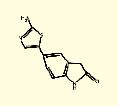 Nc1ncc(-c2ccc3c(c2)CC(=O)N3)s1